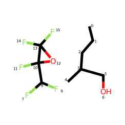 CCCC(C)CO.FC(F)C1(F)OC1(F)F